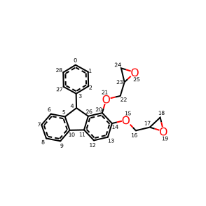 c1ccc(C2c3ccccc3-c3ccc(OCC4CO4)c(OCC4CO4)c32)cc1